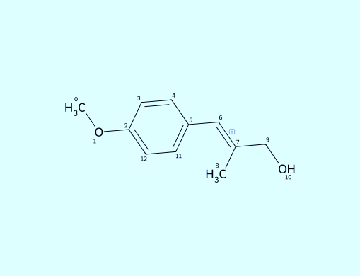 COc1ccc(/C=C(\C)CO)cc1